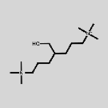 C[N+](C)(C)CCCC(CO)CCC[N+](C)(C)C